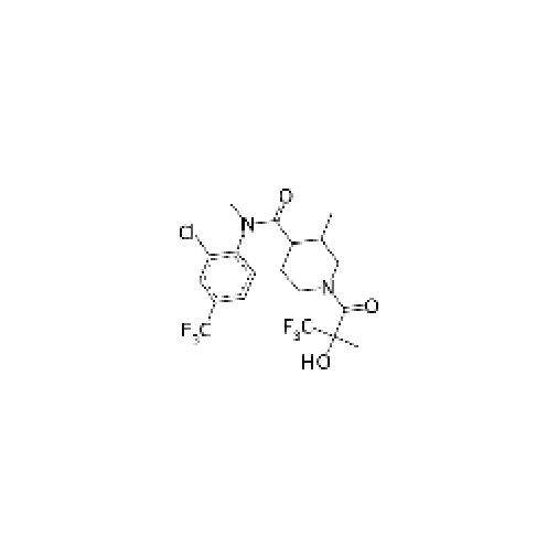 CC1CN(C(=O)C(C)(O)C(F)(F)F)CCC1C(=O)N(C)c1ccc(C(F)(F)F)cc1Cl